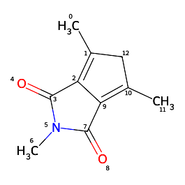 CC1=C2C(=O)N(C)C(=O)C2=C(C)C1